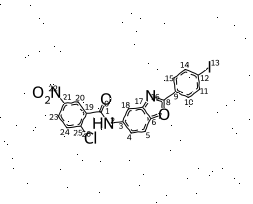 O=C(Nc1ccc2oc(-c3ccc(I)cc3)nc2c1)c1cc([N+](=O)[O-])ccc1Cl